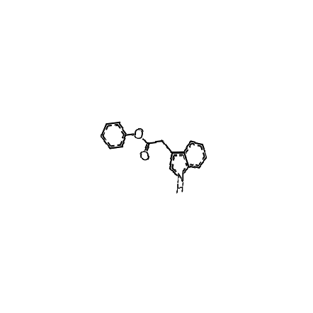 O=C(Cc1c[nH]c2ccccc12)Oc1ccccc1